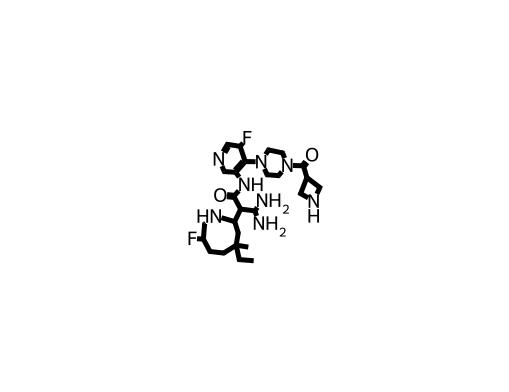 CCC1(C)CCC(F)CNC(C(C(=O)NC2=C(N3CCN(C(=O)C4CNC4)CC3)C(F)C=NC2)C(N)N)C1